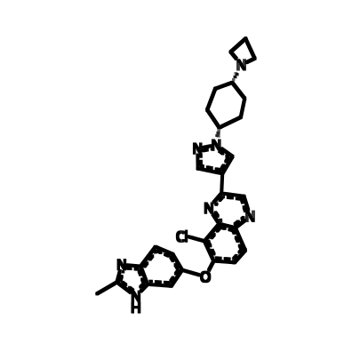 Cc1nc2ccc(Oc3ccc4ncc(-c5cnn([C@H]6CC[C@@H](N7CCC7)CC6)c5)nc4c3Cl)cc2[nH]1